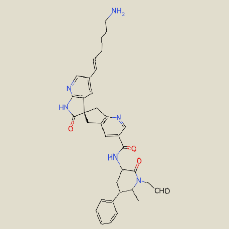 CC1C(c2ccccc2)CC(NC(=O)c2cnc3c(c2)C[C@@]2(C3)C(=O)Nc3ncc(/C=C/CCCCN)cc32)C(=O)N1CC=O